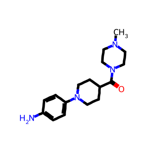 CN1CCN(C(=O)C2CCN(c3ccc(N)cc3)CC2)CC1